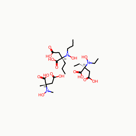 CCCN(O)[C@@](CCC)(CC(=O)O)C(=O)O.CCN(O)[C@@](CC)(CC(=O)O)C(=O)O.CN(O)[C@@](C)(CC(=O)O)C(=O)O